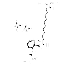 CN(C)C(=O)Oc1cccnc1C(=O)[N+](C)(C)CCCCCCCCCC[N+](C)(C)CC#N.[O-][Cl+3]([O-])([O-])[O-].[O-][Cl+3]([O-])([O-])[O-]